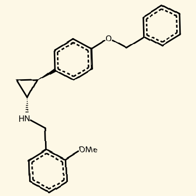 COc1ccccc1CN[C@@H]1C[C@H]1c1ccc(OCc2ccccc2)cc1